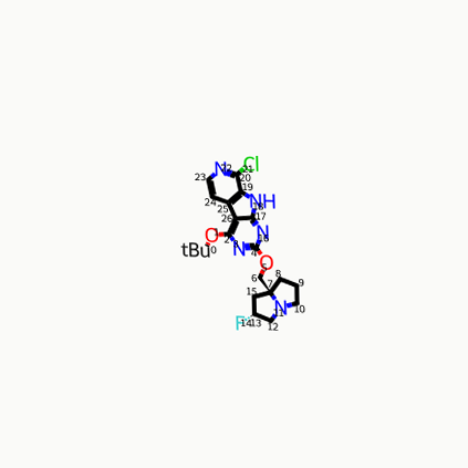 CC(C)(C)Oc1nc(OC[C@@]23CCCN2C[C@H](F)C3)nc2[nH]c3c(Cl)nccc3c12